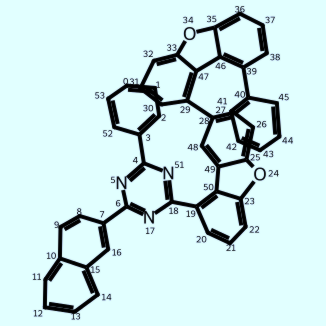 c1ccc(-c2nc(-c3ccc4ccccc4c3)nc(-c3cccc4oc5ccc(-c6cccc7oc8cccc(-c9ccccc9)c8c67)cc5c34)n2)cc1